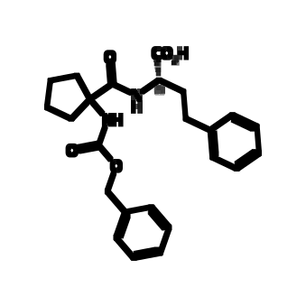 O=C(NC1(C(=O)N[C@@H](CCc2ccccc2)C(=O)O)CCCC1)OCc1ccccc1